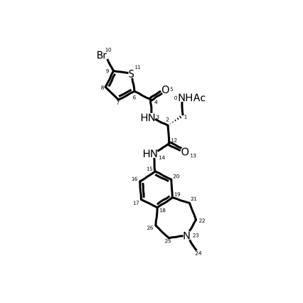 CC(=O)NC[C@@H](NC(=O)c1ccc(Br)s1)C(=O)Nc1ccc2c(c1)CCN(C)CC2